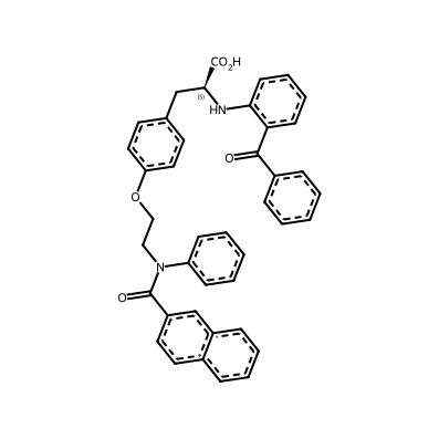 O=C(c1ccccc1)c1ccccc1N[C@@H](Cc1ccc(OCCN(C(=O)c2ccc3ccccc3c2)c2ccccc2)cc1)C(=O)O